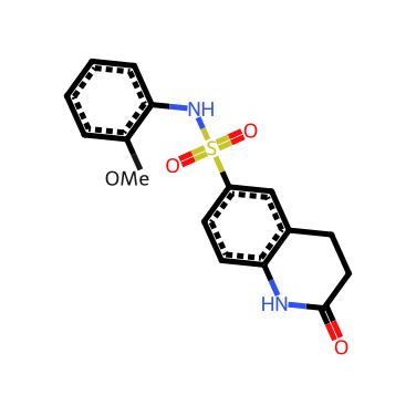 COc1ccccc1NS(=O)(=O)c1ccc2c(c1)CCC(=O)N2